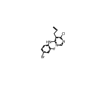 C=CCc1c(Cl)ncnc1Nc1ccc(Br)cc1F